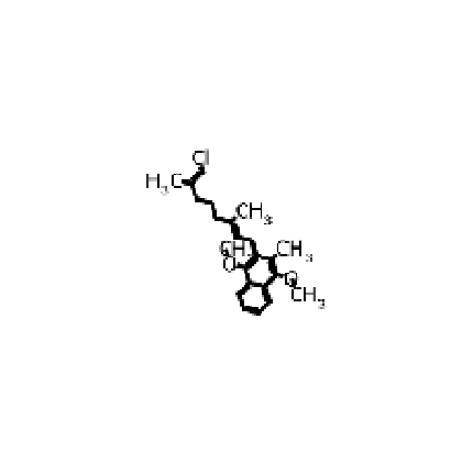 COc1c(C)c(C/C=C(\C)CCCC(C)=CCl)c(OC)c2ccccc12